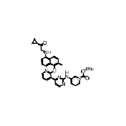 Cc1ccc2c(NCC(=O)C3CC3)cccc2c1Oc1ncccc1-c1ccnc(NC2CCCN(C(=O)OC(C)(C)C)C2)n1